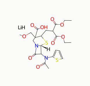 CCOC(=O)C(CC1S[C@@H]2C(N(C(C)=O)c3cccs3)C(=O)N2CC1(COC)C(=O)O)C(=O)OCC.[LiH]